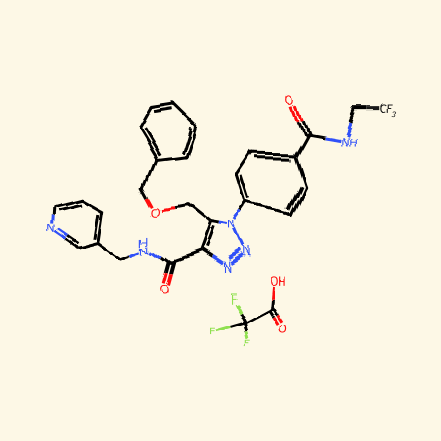 O=C(NCC(F)(F)F)c1ccc(-n2nnc(C(=O)NCc3cccnc3)c2COCc2ccccc2)cc1.O=C(O)C(F)(F)F